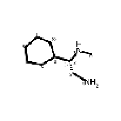 CN[C@H](CN)C1CCCCC1